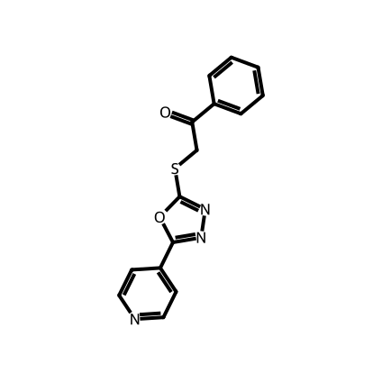 O=C(CSc1nnc(-c2ccncc2)o1)c1ccccc1